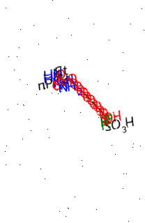 CCCN(OCCNC(=O)NCC)C(=O)C1=Cc2sc(CC3CN(C(=O)CCOCCOCCOCCOCCOCCOCCOCCOCCOCCOCCC(O)Oc4c(F)c(F)c(S(=O)(=O)O)c(F)c4F)C3)cc2N=C(N)C1